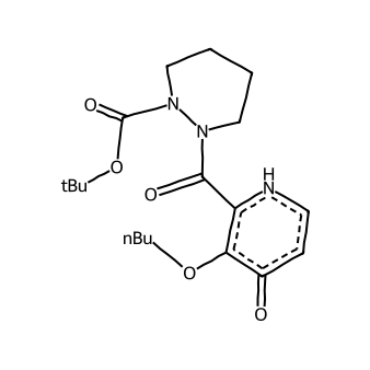 CCCCOc1c(C(=O)N2CCCCN2C(=O)OC(C)(C)C)[nH]ccc1=O